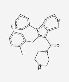 Cc1ccc(F)cc1Cc1c(C(=O)N2CCNCC2)c2cnccc2n1-c1ccccc1